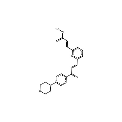 O=C(/C=C/c1cccc(/C=C/C(=O)c2ccc(N3CCOCC3)cc2)n1)NO